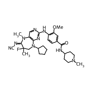 COc1cc(C(=O)NC2CCN(C)CC2)ccc1Nc1ncc2c(n1)N(C1CCCC1)CC(C)(F)/C(=N\C#N)N2C